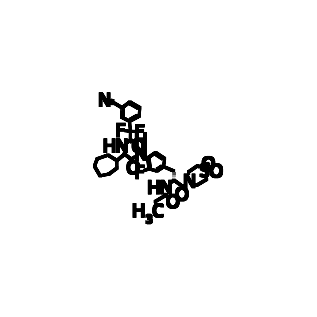 CCC(=O)N[C@H](Cc1ccc(NC(=O)[C@@H](NC(=O)C(F)(F)c2cccc(C#N)c2)C2CCCCCC2)c(F)c1)C(=O)N1CCS(=O)(=O)CC1